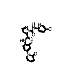 O=C(Nc1ccc(-n2ccccc2=O)cc1F)C1CC=NN1C(=O)Nc1ccc(Cl)cn1